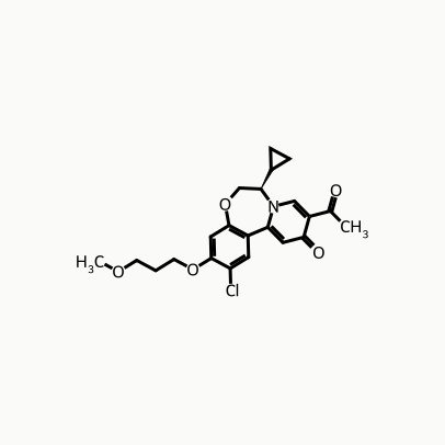 COCCCOc1cc2c(cc1Cl)-c1cc(=O)c(C(C)=O)cn1[C@H](C1CC1)CO2